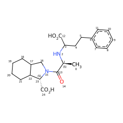 C[C@H](NC(CCc1ccccc1)C(=O)O)C(=O)N1CC2CCCCC2[C@H]1C(=O)O